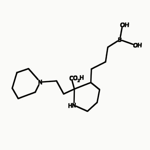 O=C(O)C1(CCN2CCCCC2)NCCCC1CCCB(O)O